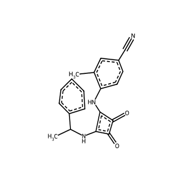 Cc1cc(C#N)ccc1Nc1c(NC(C)c2ccccc2)c(=O)c1=O